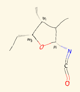 CC[C@H]1O[C@@H](N=C=O)C(C)[C@H]1C